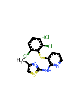 Cc1csc(Nc2ncccc2Sc2c(Cl)cccc2Cl)n1.Cl